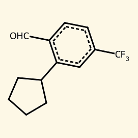 O=Cc1ccc(C(F)(F)F)cc1C1CCCC1